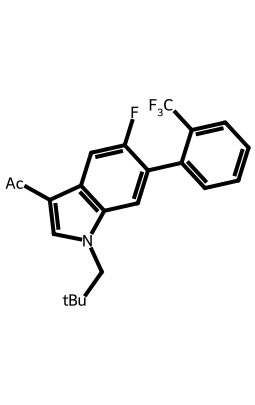 CC(=O)c1cn(CC(C)(C)C)c2cc(-c3ccccc3C(F)(F)F)c(F)cc12